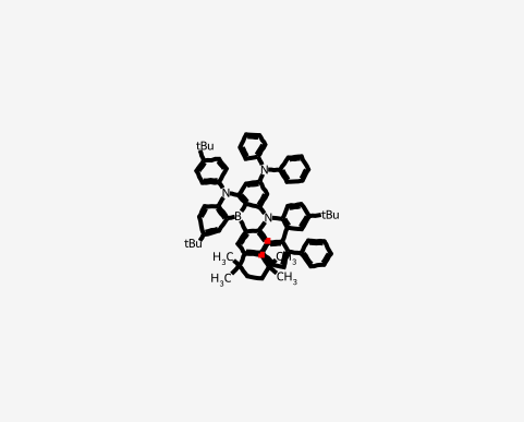 CC(C)(C)c1ccc(N2c3ccc(C(C)(C)C)cc3B3c4cc5c(cc4N(c4ccc(C(C)(C)C)cc4-c4ccccc4-c4ccccc4)c4cc(N(c6ccccc6)c6ccccc6)cc2c43)C(C)(C)CCC5(C)C)cc1